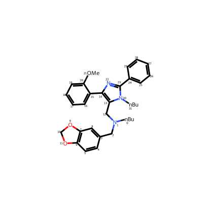 CCCCN(Cc1ccc2c(c1)OCO2)Cc1c(-c2ccccc2OC)nc(-c2ccccc2)n1CCCC